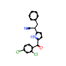 N#CC(Cc1ccccc1)c1ccc(C(=O)c2ccc(Cl)cc2Cl)[nH]1